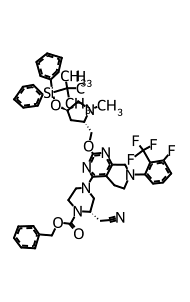 CN1C[C@H](O[Si](c2ccccc2)(c2ccccc2)C(C)(C)C)C[C@H]1COc1nc2c(c(N3CCN(C(=O)OCc4ccccc4)[C@@H](CC#N)C3)n1)CCN(c1cccc(F)c1C(F)(F)F)C2